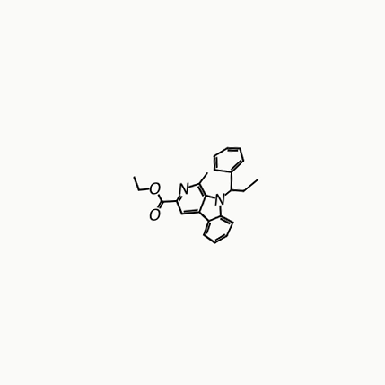 CCOC(=O)c1cc2c3ccccc3n(C(CC)c3ccccc3)c2c(C)n1